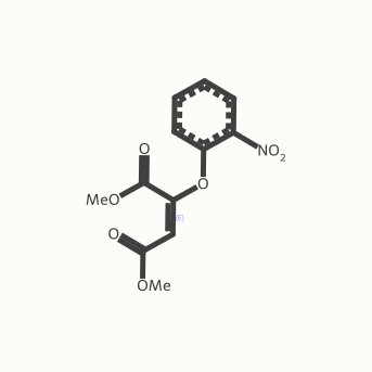 COC(=O)/C=C(/Oc1ccccc1[N+](=O)[O-])C(=O)OC